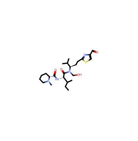 CCC(C)[C@H](NC(=O)[C@H]1CCCCN1C)C(=O)N(CO)[C@H](CCc1nc(C=O)cs1)C(C)C